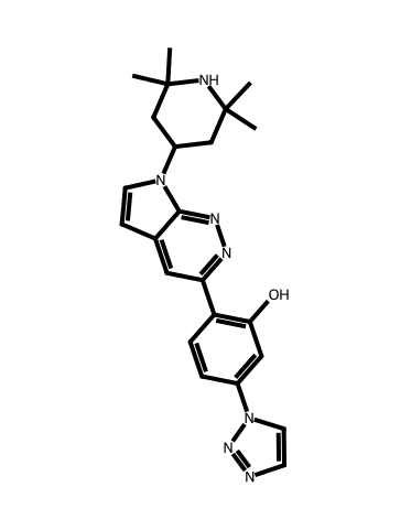 CC1(C)CC(n2ccc3cc(-c4ccc(-n5ccnn5)cc4O)nnc32)CC(C)(C)N1